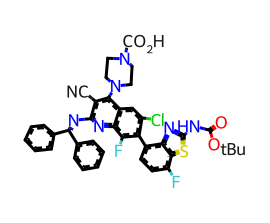 CC(C)(C)OC(=O)Nc1nc2c(-c3c(Cl)cc4c(N5CCN(C(=O)O)CC5)c(C#N)c(N=C(c5ccccc5)c5ccccc5)nc4c3F)ccc(F)c2s1